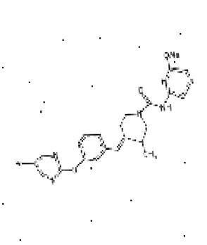 COc1cncc(NC(=O)N2CCC(=Cc3cccc(Oc4ncc(Br)cn4)c3)C(C)C2)n1